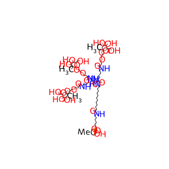 COP(=O)(O)OCCCCCCNC(=O)CCCCCCCCCCCNC(=O)[C@H](CCCCNC(=O)CCOCCOC1OC(CO)C(O)C(O)C1C)NC(=O)[C@H](CCCCNC(=O)CCOCCOC1OC(CO)C(O)C(O)C1C)NC(=O)CCOCCOC1OC(CO)C(O)C(O)C1C